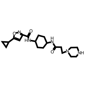 O=C(CCN1CCNCC1)NC1CCC(NC(=O)c2cc(C3CC3)on2)CC1